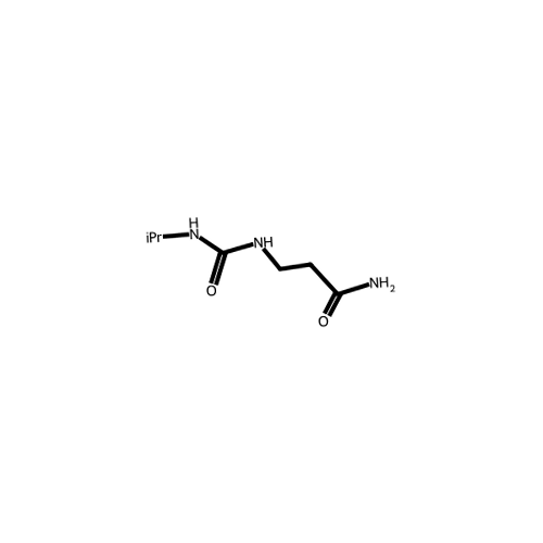 CC(C)NC(=O)NCCC(N)=O